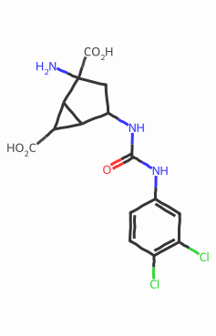 NC1(C(=O)O)CC(NC(=O)Nc2ccc(Cl)c(Cl)c2)C2C(C(=O)O)C21